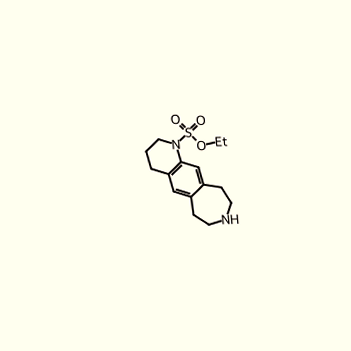 CCOS(=O)(=O)N1CCCc2cc3c(cc21)CCNCC3